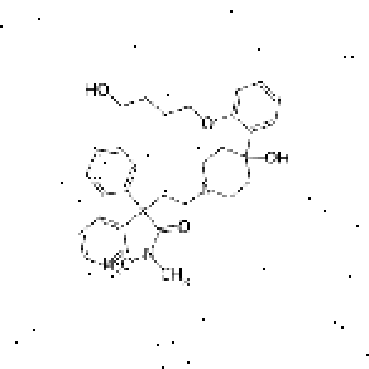 CN(C)C(=O)C(CCN1CCC(O)(c2ccccc2OCCCCO)CC1)(c1ccccc1)c1ccccc1